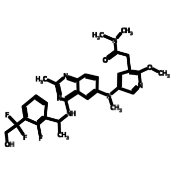 COc1ncc(N(C)c2ccc3nc(C)nc(NC(C)c4cccc(C(F)(F)CO)c4F)c3c2)cc1CC(=O)N(C)C